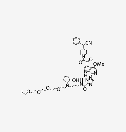 COc1cnc(-n2cnc(C(=O)NCCCN(CCOCCOCCOCCOCI)C3CCCC3O)n2)c2[nH]cc(C(=O)C(=O)N3CCC(=C(C#N)c4ccccc4)CC3)c12